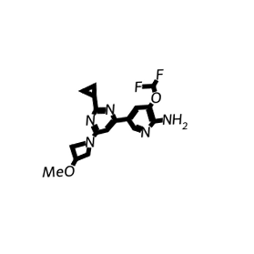 COC1CN(c2cc(-c3cnc(N)c(OC(F)F)c3)nc(C3CC3)n2)C1